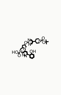 CC(C)(C)OC(=O)N1CCC(c2cnc(OC3CC4CN(C(=O)O)c5nnc(-c6ccccc6O)cc5N4C3)nc2)CC1